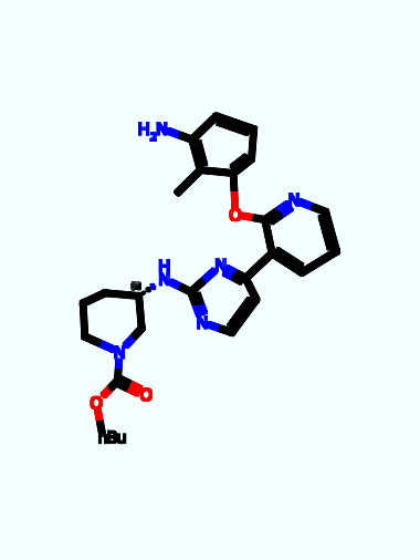 CCCCOC(=O)N1CCC[C@H](Nc2nccc(-c3cccnc3Oc3cccc(N)c3C)n2)C1